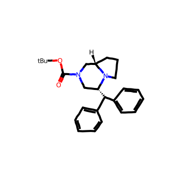 CC(C)(C)OC(=O)N1C[C@@H]2CCCN2[C@H](C(c2ccccc2)c2ccccc2)C1